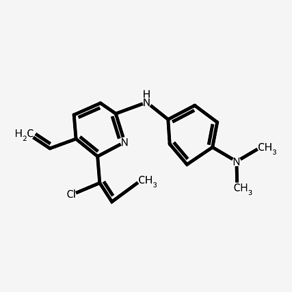 C=Cc1ccc(Nc2ccc(N(C)C)cc2)nc1/C(Cl)=C\C